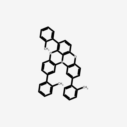 Cc1ccccc1-c1ccc2c(c1)B1c3cc(-c4ccccc4C)ccc3Oc3c(-c4ccccc4C)ccc(c31)O2